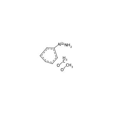 C[O-].C[O-].[NH2][Al+2][c]1ccccc1